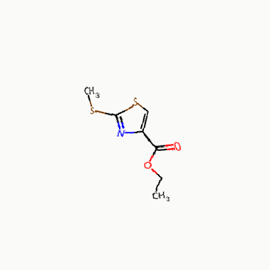 CCOC(=O)c1csc(SC)n1